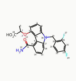 CC(Oc1cccc2c1c1c(C(N)=O)cccc1n2Cc1ccc(F)cc1F)C(=O)O